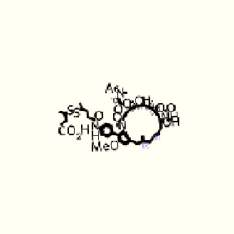 COc1cc2cc(c1-c1ccc(NC(=O)CCC(C)SSC(C)CCC(=O)O)cc1)N(C)C(=O)C[C@H](OC(=O)[C@H](C)N(C)C(C)=O)[C@]1(C)O[C@H]1[C@H](C)[C@@H]1C[C@](O)(C/C=C/C=C(\C)C2)NC(=O)O1